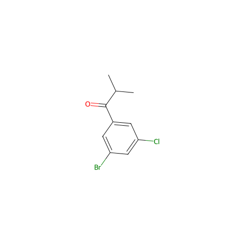 CC(C)C(=O)c1cc(Cl)cc(Br)c1